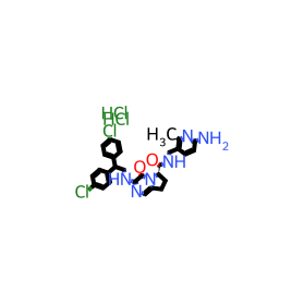 Cc1nc(N)ccc1CNC(=O)[C@@H]1CCc2cnc(NCC(c3ccc(Cl)cc3)c3ccc(Cl)cc3)c(=O)n21.Cl.Cl